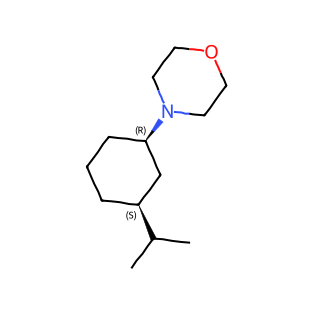 CC(C)[C@H]1CCC[C@@H](N2CCOCC2)C1